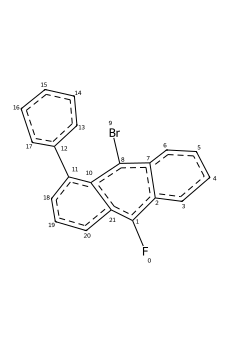 Fc1c2ccccc2c(Br)c2c(-c3ccccc3)cccc12